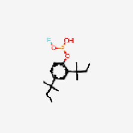 CCC(C)(C)c1ccc(OP(O)OF)c(C(C)(C)CC)c1